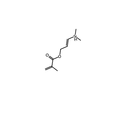 C=C(C)C(=O)OCC=C[SiH](C)C